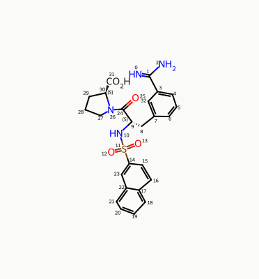 N=C(N)c1cccc(C[C@H](NS(=O)(=O)c2ccc3ccccc3c2)C(=O)N2CCC[C@H]2C(=O)O)c1